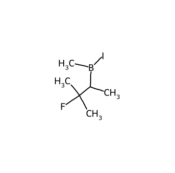 CB(I)C(C)C(C)(C)F